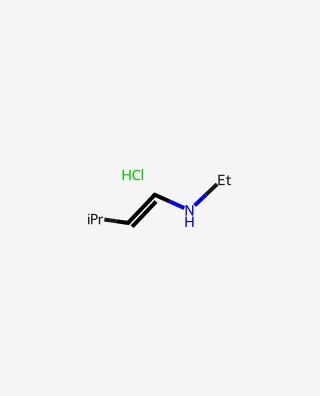 CCNC=CC(C)C.Cl